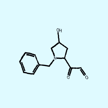 O=CC(=O)C1CC(O)CN1Cc1ccccc1